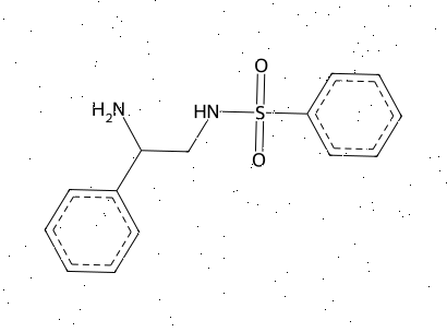 NC(CNS(=O)(=O)c1ccccc1)c1ccccc1